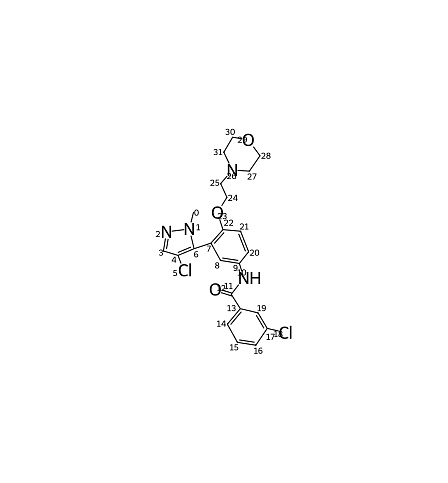 Cn1ncc(Cl)c1-c1cc(NC(=O)c2cccc(Cl)c2)ccc1OCCN1CCOCC1